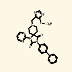 O=C(O)Oc1[nH]cnc1CN1CCC2(CC1)C(=O)N(c1ccc(-c3ccccc3)cc1)C(=O)N2c1ncccn1